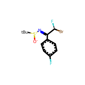 CC(C)(C)[S@+]([O-])/N=C(\c1ccc(F)cc1)[C@@H](F)Br